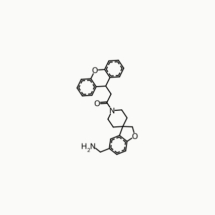 NCc1ccc2c(c1)C1(CCN(C(=O)CC3c4ccccc4Oc4ccccc43)CC1)CO2